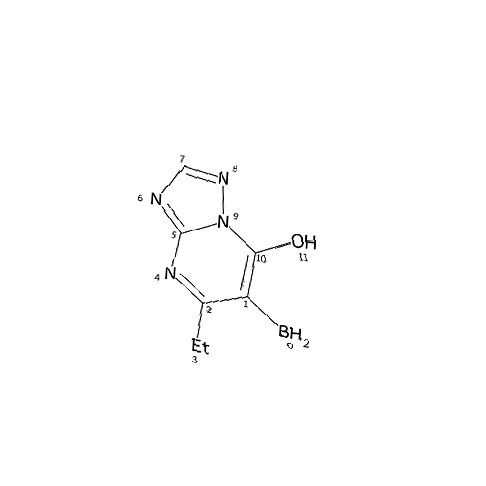 Bc1c(CC)nc2ncnn2c1O